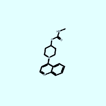 CNC(=O)OC1CCN(c2ccnc3ccccc23)CC1